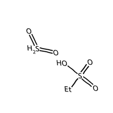 CCS(=O)(=O)O.O=[SH2]=O